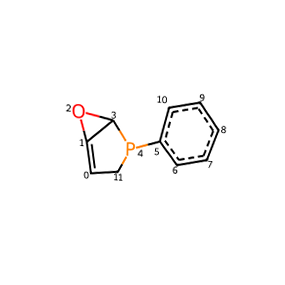 C1=C2OC2P(c2ccccc2)C1